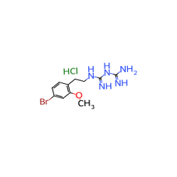 COc1cc(Br)ccc1CCNC(=N)NC(=N)N.Cl